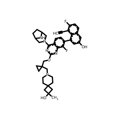 C#Cc1c(F)ccc2cc(O)cc(-c3ccc4c(N5CC6CCC(C5)N6)nc(OCC5(CN6CCC7(CC6)CC(C)(O)C7)CC5)nc4c3F)c12